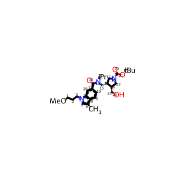 COCCCn1cc(C)c2ccc(C(=O)N(C[C@@H]3CN(C(=O)OC(C)(C)C)C[C@H]3CO)C(C)C)cc21